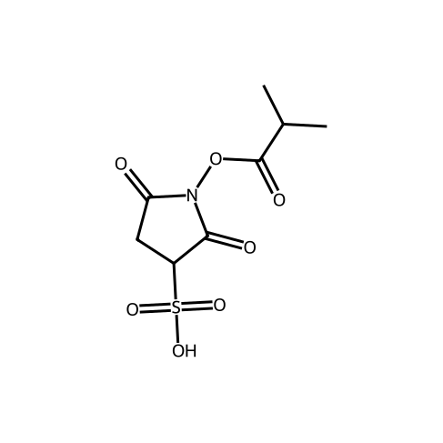 CC(C)C(=O)ON1C(=O)CC(S(=O)(=O)O)C1=O